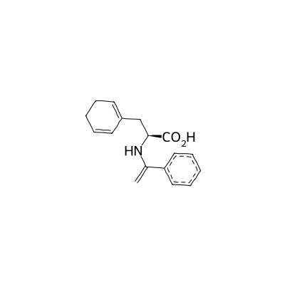 C=C(N[C@@H](CC1=CCCC=C1)C(=O)O)c1ccccc1